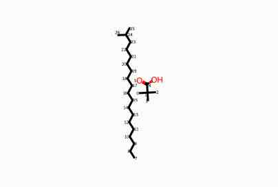 CC(C)(C)C(=O)O.CCCCCCCCCCCCCCCCCC(C)C